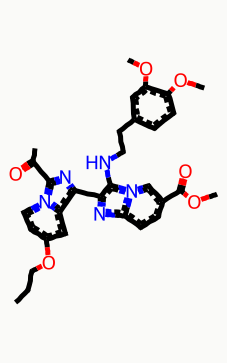 CCCOc1ccn2c(C(C)=O)nc(-c3nc4ccc(C(=O)OC)cn4c3NCCc3ccc(OC)c(OC)c3)c2c1